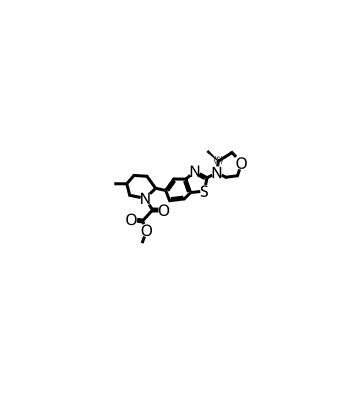 COC(=O)C(=O)N1CC(C)CCC1c1ccc2sc(N3CCOC[C@@H]3C)nc2c1